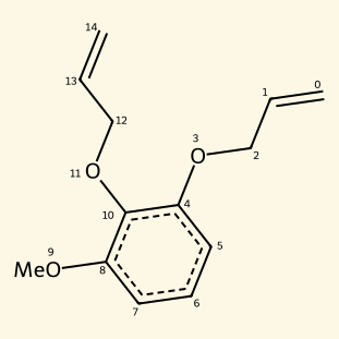 C=CCOc1cccc(OC)c1OCC=C